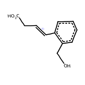 O=C(O)C/C=C/c1ccccc1CO